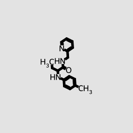 CCC(Nc1ccc(C)cc1)C(=O)NCc1ccccn1